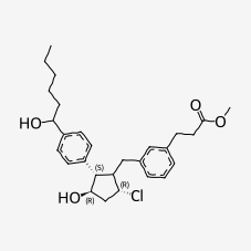 CCCCCC(O)c1ccc([C@@H]2C(Cc3cccc(CCC(=O)OC)c3)[C@H](Cl)C[C@H]2O)cc1